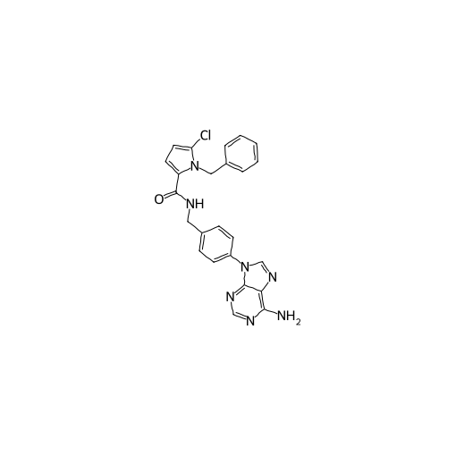 Nc1ncnc2c1ncn2-c1ccc(CNC(=O)c2ccc(Cl)n2Cc2ccccc2)cc1